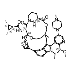 CCn1c(-c2cc(N3CCN(C)CC3)cnc2[C@H](C)OC)c2c3cc(ccc31)-c1csc(n1)[C@H]1OCCC(C)(COC(=O)[C@@H]3CCCN(N3)C(=O)[C@H]1NC(=O)[C@H]1[C@H](C)[C@@H]1C)C2